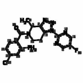 CC1c2nnn(-c3ncc(F)cn3)c2CCN1C(=O)c1ccc(Cl)cc1P